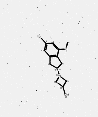 COc1cc(Br)cc2c1C[C@@H](N1CC(O)C1)C2